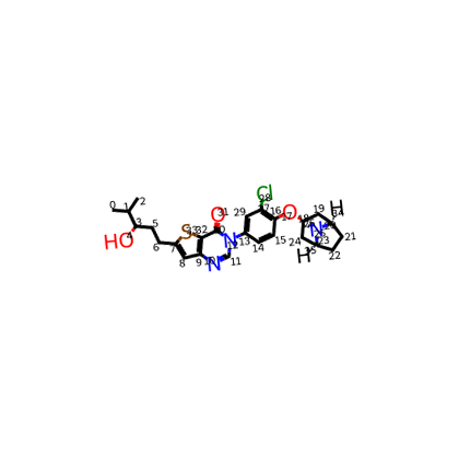 CC(C)C(O)CCc1cc2ncn(-c3ccc(O[C@H]4C[C@H]5CC[C@@H](C4)N5C)c(Cl)c3)c(=O)c2s1